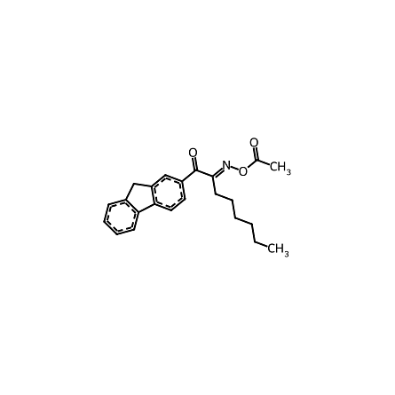 CCCCCC/C(=N\OC(C)=O)C(=O)c1ccc2c(c1)Cc1ccccc1-2